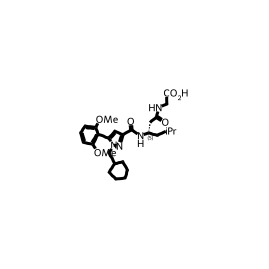 COc1cccc(OC)c1-c1cc(C(=O)N[C@H](CC(=O)NCC(=O)O)CC(C)C)nn1CC1CCCCC1